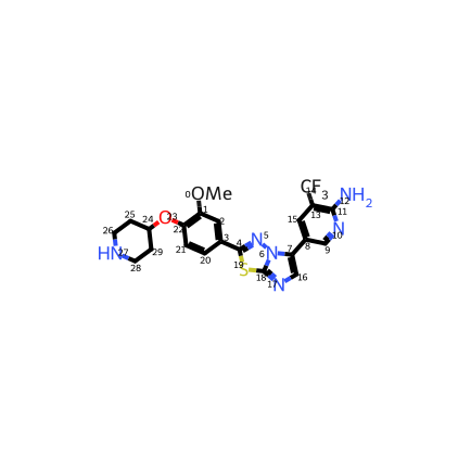 COc1cc(-c2nn3c(-c4cnc(N)c(C(F)(F)F)c4)cnc3s2)ccc1OC1CCNCC1